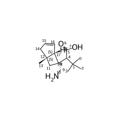 CC(C)(C)C(C(=O)O)[C@@]1(CN)C[C@]2(C)CC=C[C@@H]21